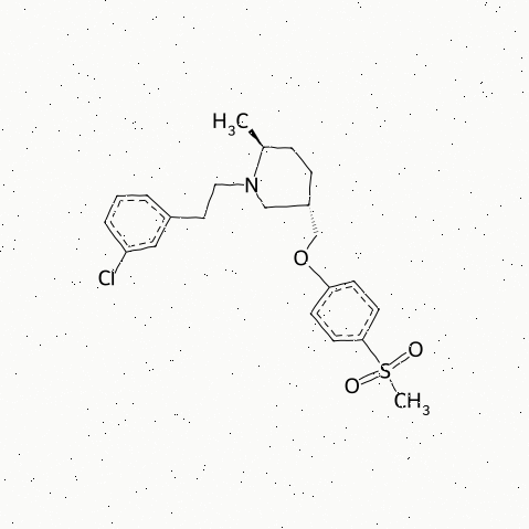 C[C@H]1CC[C@H](COc2ccc(S(C)(=O)=O)cc2)CN1CCc1cccc(Cl)c1